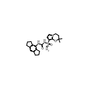 CC1(C)CCn2ccc([SH](N)(=O)NC(=O)Nc3c4c(cc5c3CCC5)CCC4)c2O1